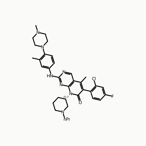 CCCN1CCC[C@H](n2c(=O)c(-c3ccc(F)cc3Cl)c(C)c3cnc(Nc4ccc(N5CCN(C)CC5)c(C)c4)nc32)C1